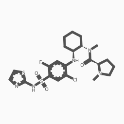 CN1CCC[C@@H]1C(=O)N(C)[C@H]1CCCC[C@@H]1Nc1cc(F)c(S(=O)(=O)Nc2nccs2)cc1Cl